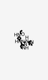 C=CC(=O)NC1CC(Nc2nc(Nc3cnn(C)c3)nc3[nH]ccc23)C1